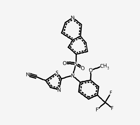 COc1cc(C(F)(F)F)ccc1N(c1ncc(C#N)s1)S(=O)(=O)c1ccc2cnccc2c1